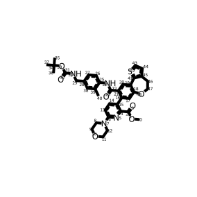 COC(=O)c1nc(N2CCOCC2)ccc1-c1cc2c(cc1C(=O)Nc1ccc(CNC(=O)OC(C)(C)C)cc1C)-c1sccc1CCO2